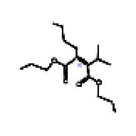 CCCC/C(C(=O)OCCC)=C(/C(=O)OCCC)C(C)C